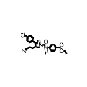 CCOC(=O)c1ccc(NC(=O)N2CC(CCC#N)C(c3ccc(Cl)cc3)=N2)cc1